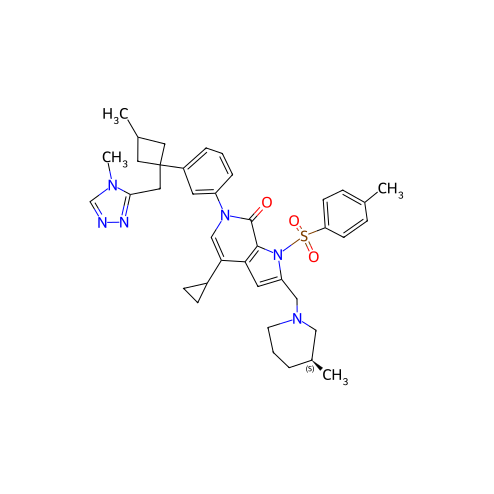 Cc1ccc(S(=O)(=O)n2c(CN3CCC[C@H](C)C3)cc3c(C4CC4)cn(-c4cccc(C5(Cc6nncn6C)CC(C)C5)c4)c(=O)c32)cc1